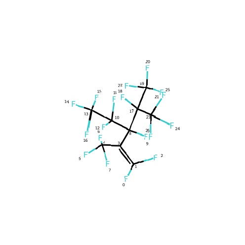 FC(F)=C(C(F)(F)F)C(F)(C(F)(F)C(F)(F)F)C(F)(C(F)(F)F)C(F)(F)F